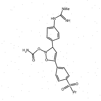 CNC(=N)Nc1ccc(C2C=C(c3ccc(S(=O)(=O)C(C)C)cc3)ON2OC(N)=O)cc1